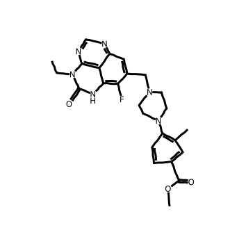 CCN1C(=O)Nc2c(F)c(CN3CCN(c4ccc(C(=O)OC)cc4C)CC3)cc3ncnc1c23